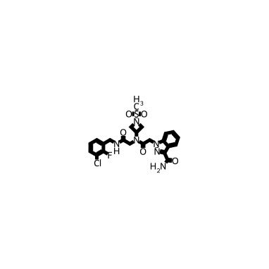 CS(=O)(=O)N1CC(N(CC(=O)NCc2cccc(Cl)c2F)C(=O)Cn2nc(C(N)=O)c3ccccc32)C1